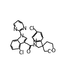 O=C(NCC1(c2ccc(Cl)cc2)CCOCC1)c1cn(-c2ncccn2)c2cccc(Cl)c12